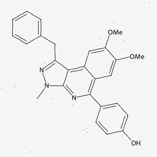 COc1cc2c(-c3ccc(O)cc3)nc3c(c(Cc4ccccc4)nn3C)c2cc1OC